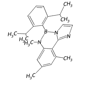 Cc1cc(C)c2c(c1)N(C)B(c1c(C(C)C)cccc1C(C)C)n1ccnc1-2